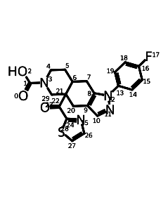 O=C(O)N1CCC2Cc3c(cnn3-c3ccc(F)cc3)CC2(C(=O)c2nccs2)C1